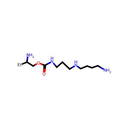 CCC(N)COC(=O)NCCCNCCCCN